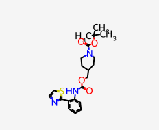 CC(C)(C)OC(=O)N1CCC(COC(=O)Nc2ccccc2-c2nccs2)CC1